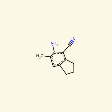 Cc1cc2c(c(C#N)c1N)CCC2